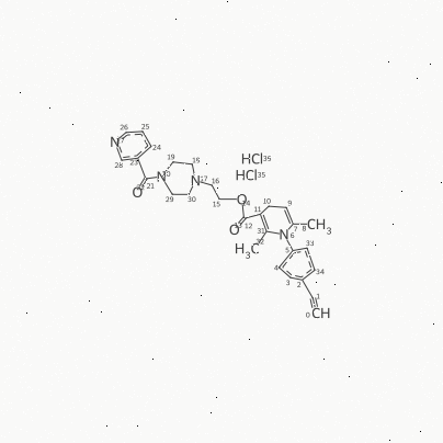 C#Cc1ccc(N2C(C)=CCC(C(=O)OCCN3CCN(C(=O)c4cccnc4)CC3)=C2C)cc1.Cl.Cl